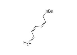 C=C/C=C\C=C/CCCCC